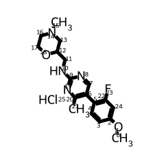 COc1ccc(-c2cnc(NCC3CN(C)CCO3)nc2C)c(F)c1.Cl